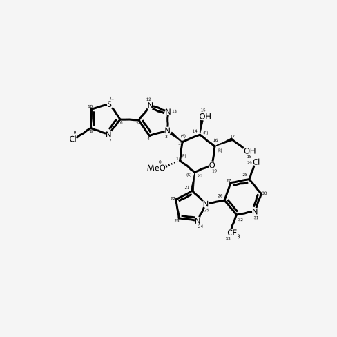 CO[C@@H]1[C@@H](n2cc(-c3nc(Cl)cs3)nn2)[C@@H](O)[C@@H](CO)O[C@H]1c1ccnn1-c1cc(Cl)cnc1C(F)(F)F